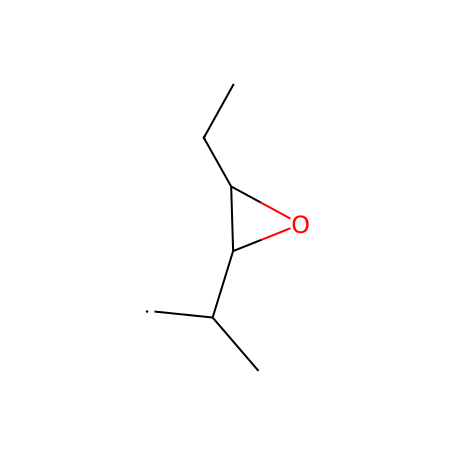 [CH2]C(C)C1OC1CC